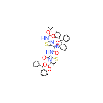 CC1=C(C(=O)OC(c2ccccc2)c2ccccc2)N2C(=O)C(NC(=O)/C(=N/OC(c3ccccc3)(c3ccccc3)c3ccccc3)c3csc(NC(=O)OC(C)(C)C)n3)C2SC1